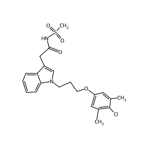 Cc1cc(OCCCn2cc(CC(=O)NS(C)(=O)=O)c3ccccc32)cc(C)c1Cl